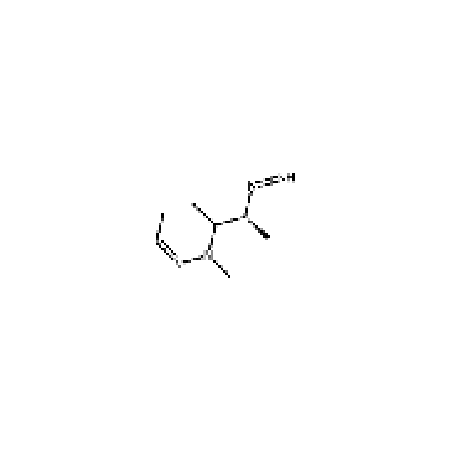 C/C=N\N(C)C(C)[C@H](C)N=N